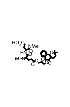 CNC(=O)C(CCC(=O)O)NC(=O)C(CCC(=O)OCC1COC2(O1)C(=O)C1=C(OC(C)(C)CC1)c1ccccc12)NC